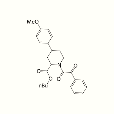 CCCCOC(=O)C1CC(c2ccc(OC)cc2)CCN1C(=O)C(=O)c1ccccc1